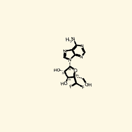 Nc1ncnc2c1ncn2[C@@H]1O[C@@](CO)(C(F)F)[C@@H](O)[C@@H]1O